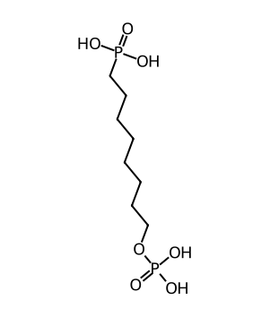 O=P(O)(O)CCCCCCCCOP(=O)(O)O